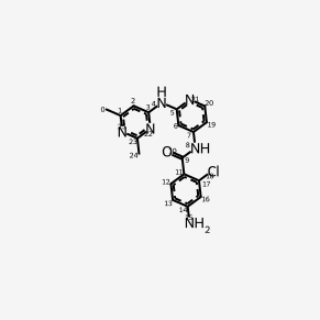 Cc1cc(Nc2cc(NC(=O)c3ccc(N)cc3Cl)ccn2)nc(C)n1